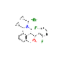 Br.COC(c1c(F)cccc1F)C(CN(CC1CC1)CC1CC1)c1c(C)cccc1C